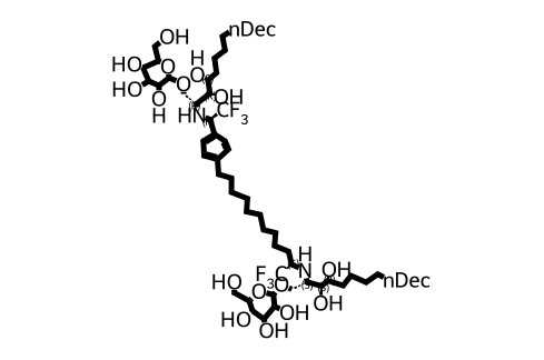 CCCCCCCCCCCCCC[C@@H](O)[C@@H](O)[C@H](COC1OC(CO)C(O)C(O)C1O)N[C@@H](CCCCCCCCCCc1ccc([C@@H](N[C@H](COC2OC(CO)C(O)C(O)C2O)[C@@H](O)[C@@H](O)CCCCCCCCCCCCCC)C(F)(F)F)cc1)C(F)(F)F